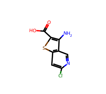 Nc1c(C(=O)O)sc2cc(Cl)ncc12